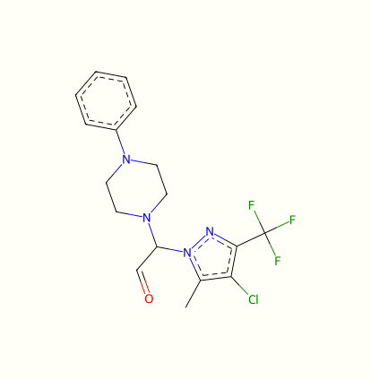 Cc1c(Cl)c(C(F)(F)F)nn1C(C=O)N1CCN(c2ccccc2)CC1